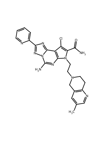 Cc1cnc2c(c1)CN(CCn1c(C(N)=O)c(Cl)c3c1nc(N)n1nc(-c4ccccn4)nc31)CC2